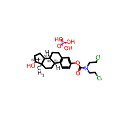 C[C@]12CC[C@@H]3c4ccc(OC(=O)N(CCCl)CCCl)cc4CC[C@H]3[C@@H]1CC[C@@H]2O.O=P(O)(O)O